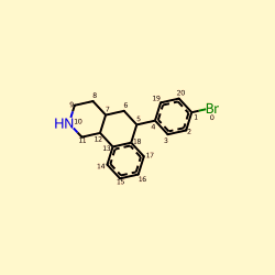 Brc1ccc(C2CC3CCNCC3c3ccccc32)cc1